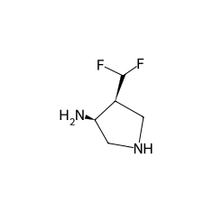 N[C@@H]1CNC[C@@H]1C(F)F